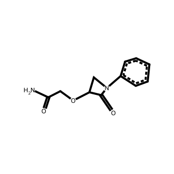 NC(=O)COC1CN(c2ccccc2)C1=O